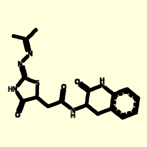 CC(C)=NN=C1NC(=O)C(CC(=O)NC2Cc3ccccc3NC2=O)S1